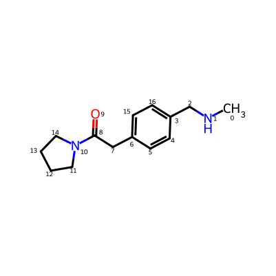 CNCc1ccc(CC(=O)N2CCCC2)cc1